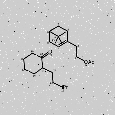 CC(=O)OCCC1=CCC2CC1C2(C)C.CC(C)CCC1CCCCC1=O